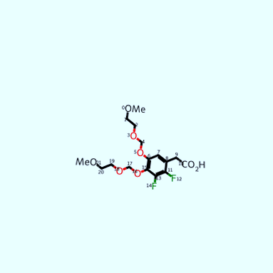 COCCOCOc1cc(CC(=O)O)c(F)c(F)c1OCOCCOC